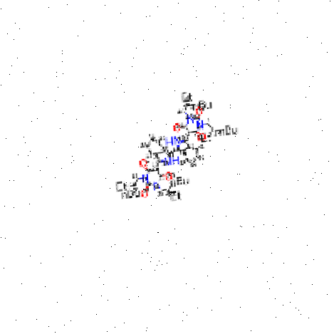 CCCCC(CC)CN1C(=O)C(=c2[nH]c(=c3[nH]c(=C4C(=O)N(CC(CC)CCCC)C(=O)N(CC(CC)CCCC)C4=O)c4ccccc34)c3ccccc23)C(=O)N(CC(CC)CCCC)C1=O